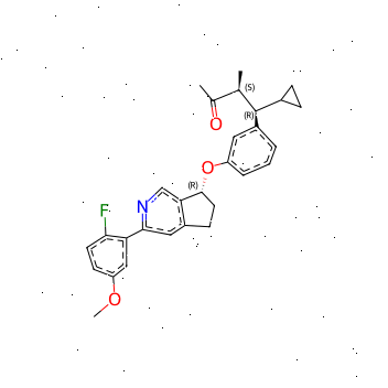 COc1ccc(F)c(-c2cc3c(cn2)[C@H](Oc2cccc([C@H](C4CC4)[C@H](C)C(C)=O)c2)CC3)c1